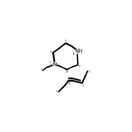 C/C=C/C.CN1CCNCC1